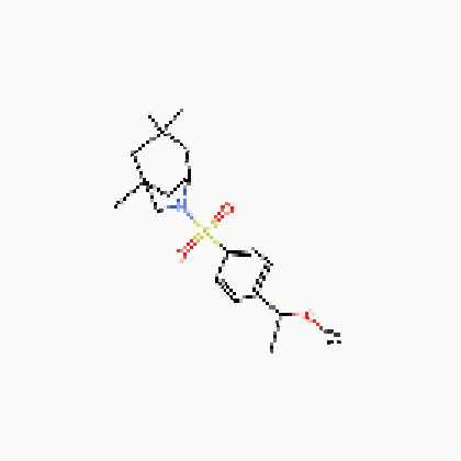 CCOC(C)c1ccc(S(=O)(=O)N2CC3(C)CC2CC(C)(C)C3)cc1